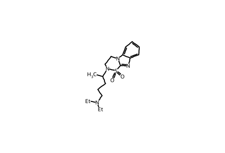 CCN(CC)CCCC(C)N1CCn2c(nc3ccccc32)S1(=O)=O